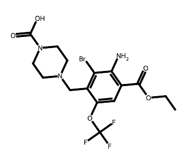 CCOC(=O)c1cc(OC(F)(F)F)c(CN2CCN(C(=O)O)CC2)c(Br)c1N